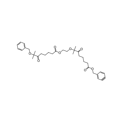 CC(C)(OCCOC(=O)CCCCC(=O)C(C)(C)OCc1ccccc1)C(=O)CCCCC(=O)OCc1cc#ccc1